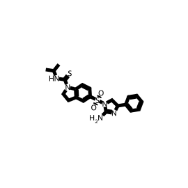 CC(C)NC(=S)N1CCc2cc(S(=O)(=O)N3CC(c4ccccc4)N=C3N)ccc21